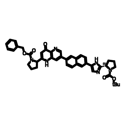 CC(C)(C)OC(=O)N1CCC[C@H]1c1ncc(-c2ccc3cc(-c4cnc5c(=O)cc(C6CCCN6C(=O)OCc6ccccc6)[nH]c5c4)ccc3c2)[nH]1